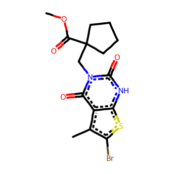 COC(=O)C1(Cn2c(=O)[nH]c3sc(Br)c(C)c3c2=O)CCCC1